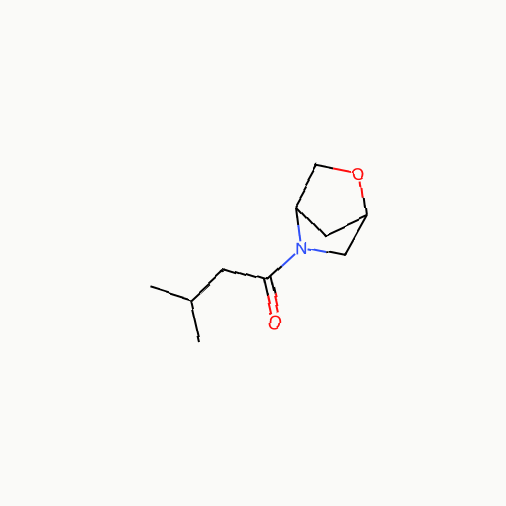 CC(C)CC(=O)N1CC2CC1CO2